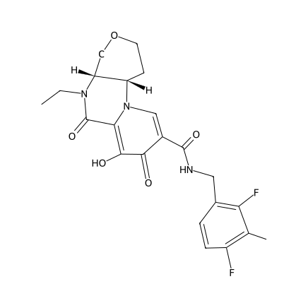 CCN1C(=O)c2c(O)c(=O)c(C(=O)NCc3ccc(F)c(C)c3F)cn2[C@H]2CCOC[C@H]21